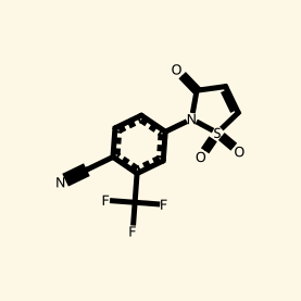 N#Cc1ccc(N2C(=O)C=CS2(=O)=O)cc1C(F)(F)F